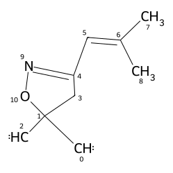 [CH]C1([CH])CC(C=C(C)C)=NO1